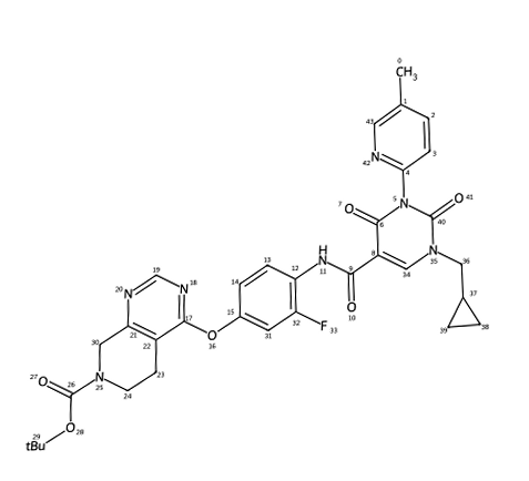 Cc1ccc(-n2c(=O)c(C(=O)Nc3ccc(Oc4ncnc5c4CCN(C(=O)OC(C)(C)C)C5)cc3F)cn(CC3CC3)c2=O)nc1